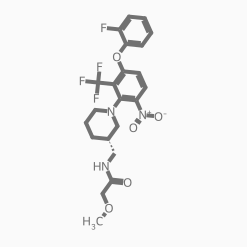 COCC(=O)NC[C@@H]1CCCN(c2c([N+](=O)[O-])ccc(Oc3ccccc3F)c2C(F)(F)F)C1